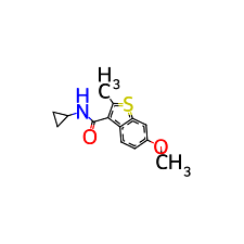 COc1ccc2c(C(=O)NC3CC3)c(C)sc2c1